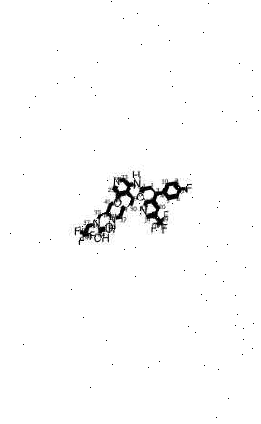 O=C(C[C@@H](c1ccc(F)cc1)c1cncc(C(F)(F)F)c1)Nc1cncc(F)c1CC[C@@H]1CN[C@@H](CN(CC(F)(F)F)C(=O)O)CO1